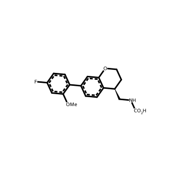 COc1cc(F)ccc1-c1ccc2c(c1)OCC[C@H]2CNC(=O)O